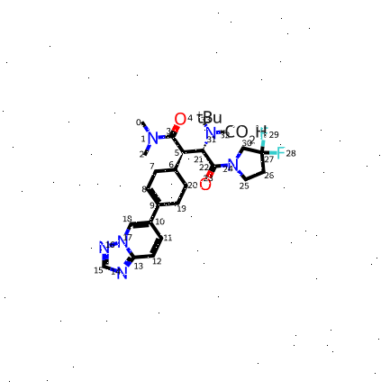 CN(C)C(=O)[C@H](C1CC=C(c2ccc3ncnn3c2)CC1)[C@@H](C(=O)N1CCC(F)(F)C1)N(C(=O)O)C(C)(C)C